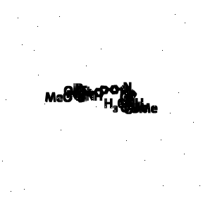 COC(=O)N[C@H](C(=O)N1CCC[C@H]1c1ncc(-c2ccc3cc(-c4ccc(-c5cnc([C@@H]6CCCN6C(=O)[C@@H](NC(=O)OC)[C@H](C)OC)[nH]5)cc4)ccc3c2)[nH]1)C(C)C